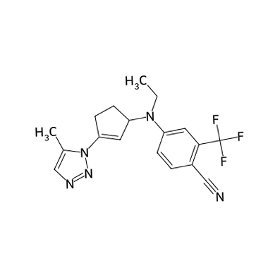 CCN(c1ccc(C#N)c(C(F)(F)F)c1)C1C=C(n2nncc2C)CC1